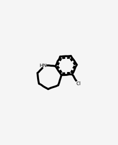 Clc1cccc2c1CCCCN2